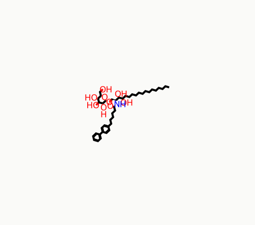 CCCCCCCCCCCCCC[C@@H](O)[C@@H](O)[C@H](COC1OC(CO)C(O)C(O)C1O)NC(=O)CCCCCc1ccc(-c2ccccc2)cc1